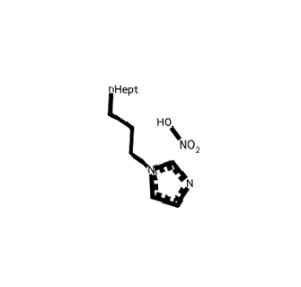 CCCCCCCCCCn1ccnc1.O=[N+]([O-])O